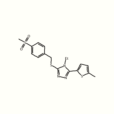 CCn1c(SCc2ccc(S(C)(=O)=O)cc2)nnc1-c1ccc(C)s1